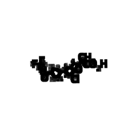 CN(C(=O)O)C1Cc2cc(-c3ccc(C(=O)N4CC(F)(F)C4)cc3)cc(Cl)c2O1